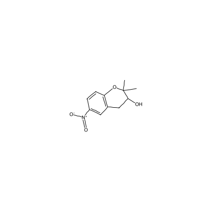 CC1(C)Oc2ccc([N+](=O)[O-])cc2CC1O